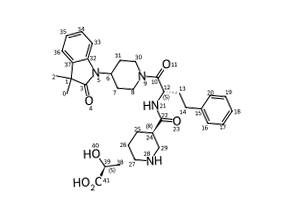 CC1(C)C(=O)N(C2CCN(C(=O)[C@H](CCc3ccccc3)NC(=O)[C@@H]3CCCNC3)CC2)c2ccccc21.C[C@H](O)C(=O)O